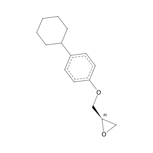 c1cc(C2CCCCC2)ccc1OC[C@H]1CO1